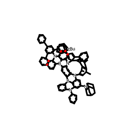 CC1C=C2C(C)C3=C1C(C)C=C(C3C)C1(C=C(c3ccccc3)C=C1c1ccccc1)N1c3cc4c(cc3B3c5ccccc5N(c5c(-c6ccccc6)cc(-c6ccccc6)cc5-c5ccccc5)c5cc(C(C)(C)C)cc1c53)B1c3ccccc3N(c3ccccc3)c3cc(N5C6CC7CC(C6)CC5C7)cc(c31)N24